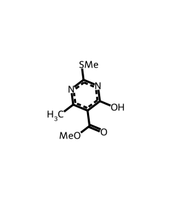 COC(=O)c1c(C)nc(SC)nc1O